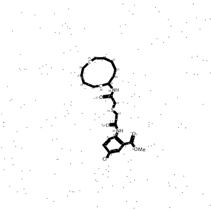 COC(=O)c1cc(Cl)ccc1NC(=O)CSCC(=O)NC1CCCCCCCCCCC1